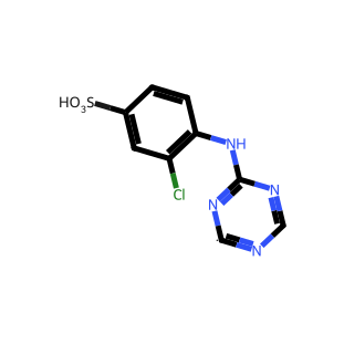 O=S(=O)(O)c1ccc(Nc2n[c]ncn2)c(Cl)c1